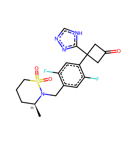 C[C@H]1CCCS(=O)(=O)N1Cc1cc(F)c(C2(c3nnc[nH]3)CC(=O)C2)cc1F